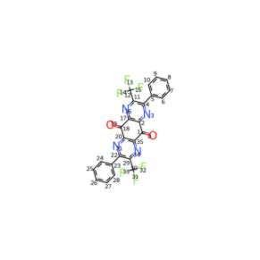 O=C1c2nc(-c3ccccc3)c(C(F)(F)F)nc2C(=O)c2nc(-c3ccccc3)c(C(F)(F)F)nc21